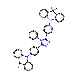 CC1(C)c2ccccc2N(c2ccc(-c3nnc(-c4ccc(N5c6ccccc6C(C)(C)c6ccccc65)cc4)n3-c3ccccc3)cc2)c2ccccc21